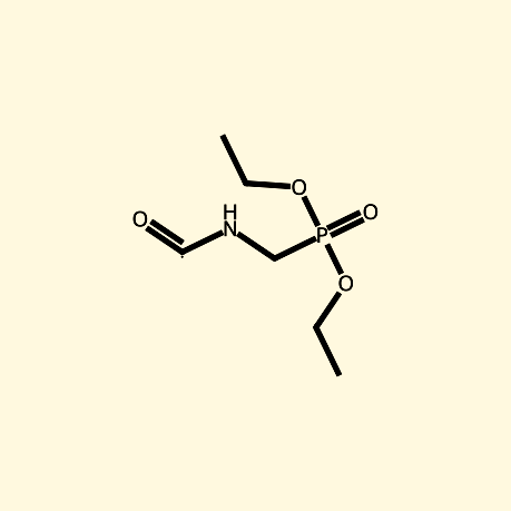 CCOP(=O)(CN[C]=O)OCC